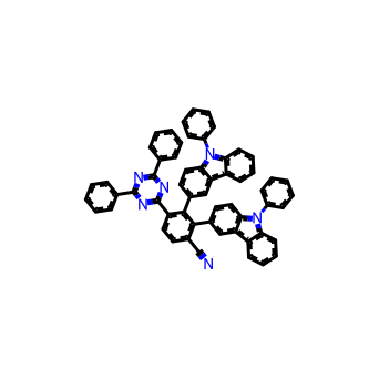 N#Cc1ccc(-c2nc(-c3ccccc3)nc(-c3ccccc3)n2)c(-c2ccc3c(c2)c2ccccc2n3-c2ccccc2)c1-c1ccc2c(c1)c1ccccc1n2-c1ccccc1